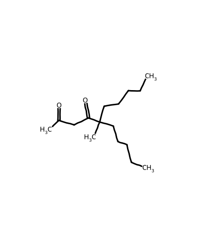 CCCCCC(C)(CCCCC)C(=O)CC(C)=O